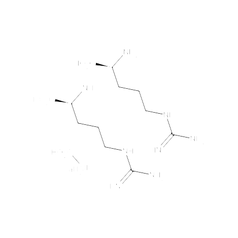 N=C(N)NCCC[C@H](N)C(=O)O.N=C(N)NCCC[C@H](N)C(=O)O.O=C(O)O.[CaH2]